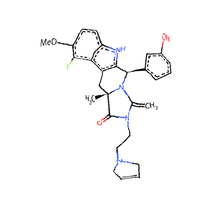 C=C1N(CCN2CC=CC2)C(=O)[C@]2(C)Cc3c([nH]c4ccc(OC)c(F)c34)[C@@H](c3cccc(O)c3)N12